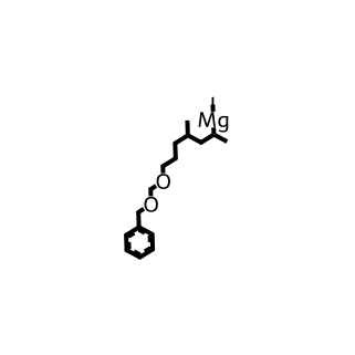 CC(CCCOCOCc1ccccc1)C[CH](C)[Mg][I]